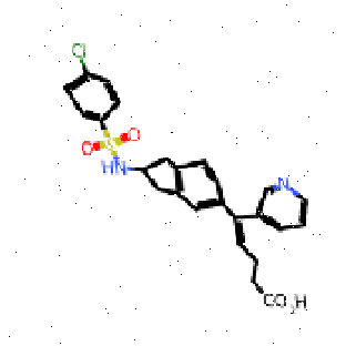 O=C(O)CCC=C(c1cccnc1)c1ccc2c(c1)CC(NS(=O)(=O)c1ccc(Cl)cc1)C2